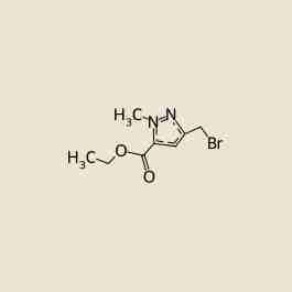 CCOC(=O)c1cc(CBr)nn1C